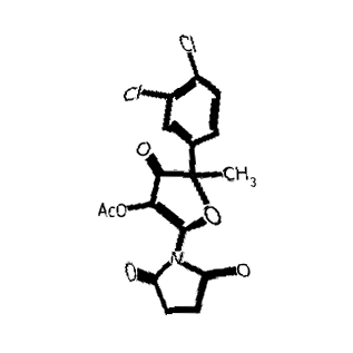 CC(=O)OC1=C(N2C(=O)CCC2=O)OC(C)(c2ccc(Cl)c(Cl)c2)C1=O